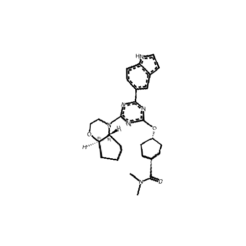 CN(C)C(=O)[C@H]1CC[C@H](Oc2nc(-c3ccc4[nH]ccc4c3)nc(N3CCO[C@@H]4CCC[C@H]43)n2)CC1